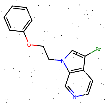 Brc1cn(CCOc2ccccc2)c2cnccc12